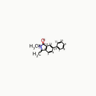 C=C1c2ccc(-c3ccccc3)cc2C(=O)N1C